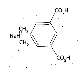 C=C.O=C(O)c1cccc(C(=O)O)c1.[NaH]